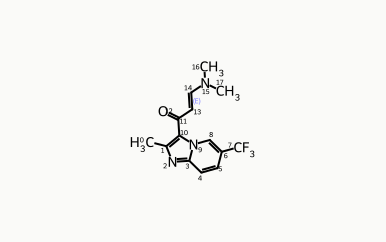 Cc1nc2ccc(C(F)(F)F)cn2c1C(=O)/C=C/N(C)C